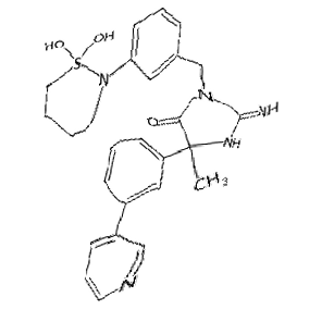 CC1(c2cccc(-c3cccnc3)c2)NC(=N)N(Cc2cccc(N3CCCCS3(O)O)c2)C1=O